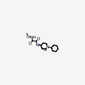 CONC(=O)C(=O)/N=c1\ccn(-c2ccccc2)nc1